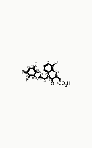 O=C(O)CC1Sc2c(F)cccc2N(Cc2nc3c(F)c(F)cc(F)c3s2)C1=O